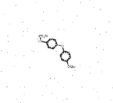 CCOC(=O)Nc1ccc(Oc2ccc(OC)cc2)cc1